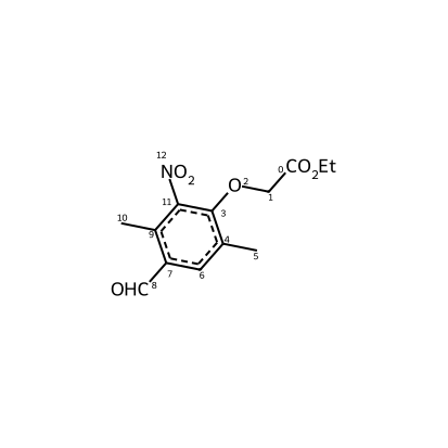 CCOC(=O)COc1c(C)cc(C=O)c(C)c1[N+](=O)[O-]